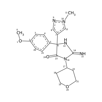 COc1ccc(C2(c3cnn(C)c3)NC(=N)N(C3CCOCC3)C2=O)cc1